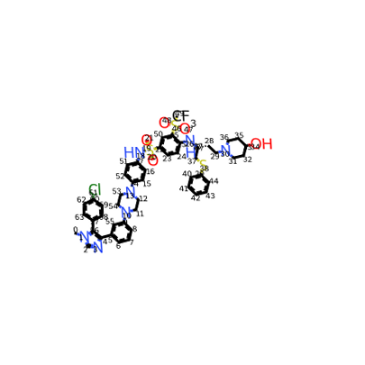 Cn1cnc(-c2cccc(N3CCN(c4ccc(NS(=O)(=O)c5ccc(N[C@H](CCN6CCC(O)CC6)CSc6ccccc6)c(S(=O)(=O)C(F)(F)F)c5)cc4)CC3)c2)c1-c1ccc(Cl)cc1